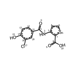 O=C(Nc1ccsc1C(=O)O)c1ccc(O)c(Cl)c1